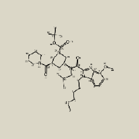 COCCCCn1c(C(=O)N(CC(C)C)[C@H]2C[C@@H](C(=O)N3CCCCC3)CN(C(=O)OC(C)(C)C)C2)nc2c(OC)cccc21